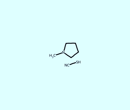 CN1CCCC1.N#CS